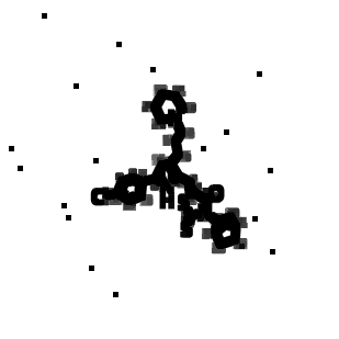 O=C1/C(=C/c2[nH]c(-c3ccc(Cl)cc3)cc2CCCN2CCCCC2)SC(=S)N1C1CC2CCC1C2